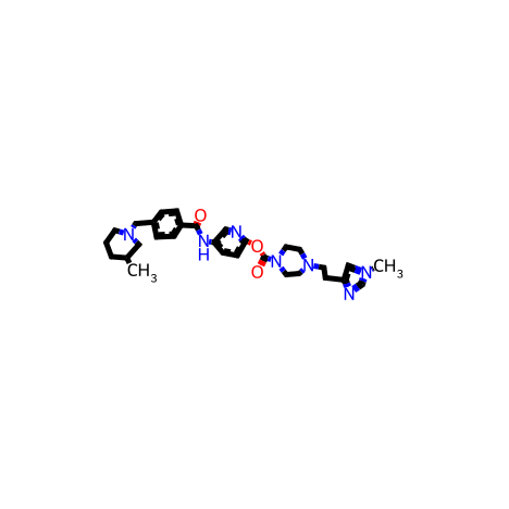 CC1CCCN(Cc2ccc(C(=O)Nc3ccc(OC(=O)N4CCN(CCc5cn(C)cn5)CC4)nc3)cc2)C1